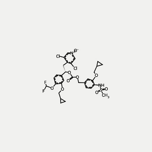 CS(=O)(=O)Nc1ccc(COC(=O)O[C@@H](Cc2c(Cl)c[n+]([O-])cc2Cl)c2ccc(OC(F)F)c(OCC3CC3)c2)cc1OCC1CC1